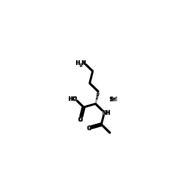 CC(=O)N[C@@H](CCCN)C(=O)O.[Sn]